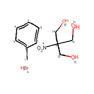 Br.Cc1ccccc1.O=[N+]([O-])C(CO)(CO)CO